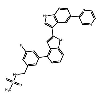 CS(=O)(=O)NCc1cc(F)cc(-c2cccc3[nH]c(-c4n[nH]c5ccc(-c6cnccn6)cc45)cc23)c1